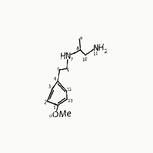 COc1ccc(CCNC(C)CN)cc1